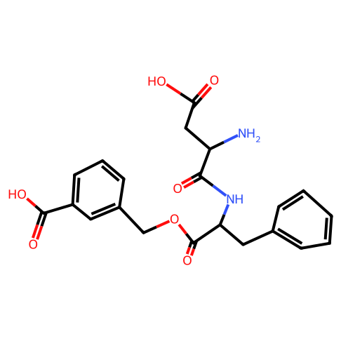 NC(CC(=O)O)C(=O)NC(Cc1ccccc1)C(=O)OCc1cccc(C(=O)O)c1